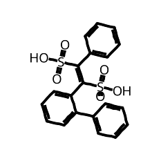 O=S(=O)(O)C(=C(c1ccccc1-c1ccccc1)S(=O)(=O)O)c1ccccc1